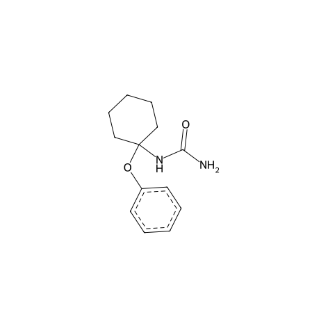 NC(=O)NC1(Oc2ccccc2)CCCCC1